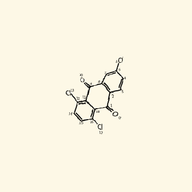 O=C1c2ccc(Cl)cc2C(=O)c2c(Cl)ccc(Cl)c21